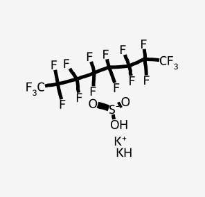 FC(F)(F)C(F)(F)C(F)(F)C(F)(F)C(F)(F)C(F)(F)C(F)(F)C(F)(F)F.O=[S-](=O)O.[K+].[KH]